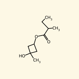 CCC(C)C(=O)OC1CC(C)(O)C1